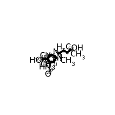 Cn1c(CCC(C)(C)O)nc2cc(C(C)(C)O)c(NC=O)cc21